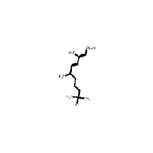 CCOC(=O)/C=C(C)/C=C/C(C)CCCC(C)(C)Cl